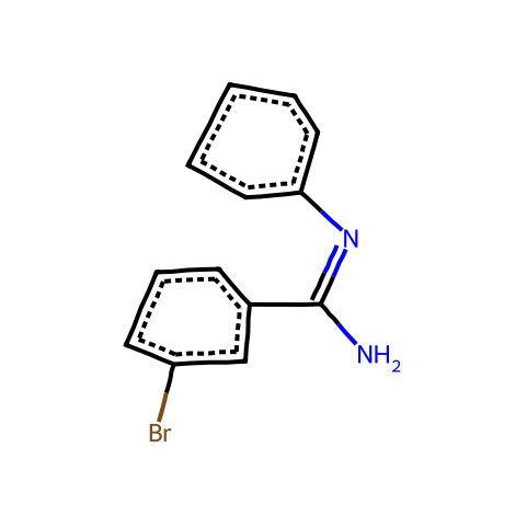 N/C(=N/c1ccccc1)c1cccc(Br)c1